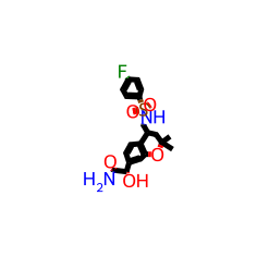 CC1(C)CC(CNS(=O)(=O)c2ccc(F)cc2)c2ccc(C(O)C(N)=O)cc2O1